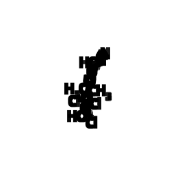 CC(C)(c1ccc(OC[C@@H](O)Cn2ccnc2)cc1)c1cc(Cl)c(OC[C@H](O)CCl)c(Cl)c1